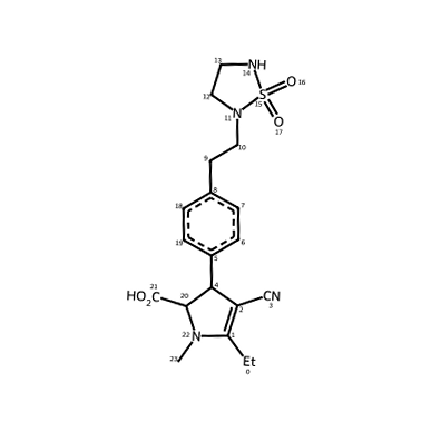 CCC1=C(C#N)C(c2ccc(CCN3CCNS3(=O)=O)cc2)C(C(=O)O)N1C